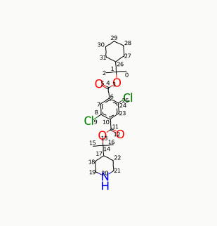 CC(C)(OC(=O)c1cc(Cl)c(C(=O)OC(C)(C)C2CCNCC2)cc1Cl)C1CCCCC1